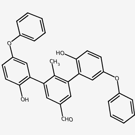 Cc1c(-c2cc(Oc3ccccc3)ccc2O)cc(C=O)cc1-c1cc(Oc2ccccc2)ccc1O